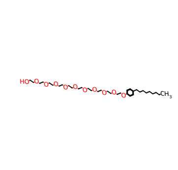 CCCCCCCCCc1ccc(OCCOCCOCCOCCOCCOCCOCCOCCOCCOCCO)cc1